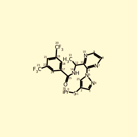 CC(C)Sc1cnn(-c2nccnc2C(C)NC(=O)c2cc(C(F)(F)F)cc(C(F)(F)F)c2)c1